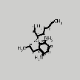 CCCCCC(CC)Oc1c(N)ccc(N)c1CCC